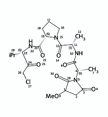 COC1CC(=O)N([C@@H](C)C(=O)N[C@@H](C)C(=O)N2CCC[C@H]2C(=O)N[C@H](C(=O)[CH]Cl)C(C)C)C1=O